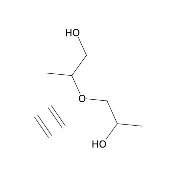 C=C.C=C.CC(O)COC(C)CO